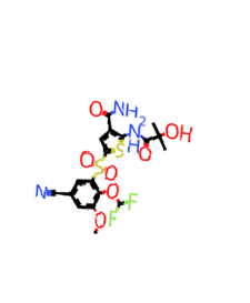 COc1cc(C#N)cc(S(=O)(=O)c2cc(C(N)=O)c(NC(=O)C(C)(C)O)s2)c1OC(F)F